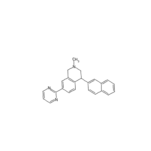 CN1Cc2cc(-c3ncccn3)ccc2C(c2ccc3ccccc3c2)C1